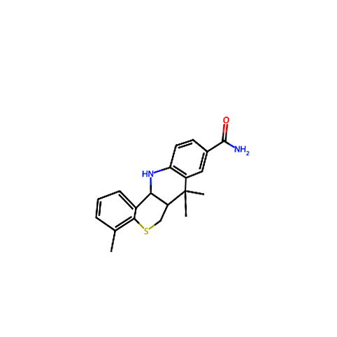 Cc1cccc2c1SCC1C2Nc2ccc(C(N)=O)cc2C1(C)C